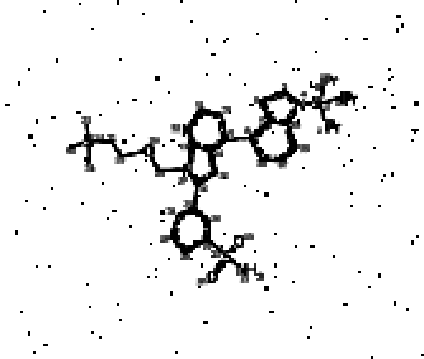 CC(C)[Si](C(C)C)(C(C)C)n1ccc2c(-c3ccnc4c3cc(-c3cccc(S(N)(=O)=O)c3)n4COCC[Si](C)(C)C)cccc21